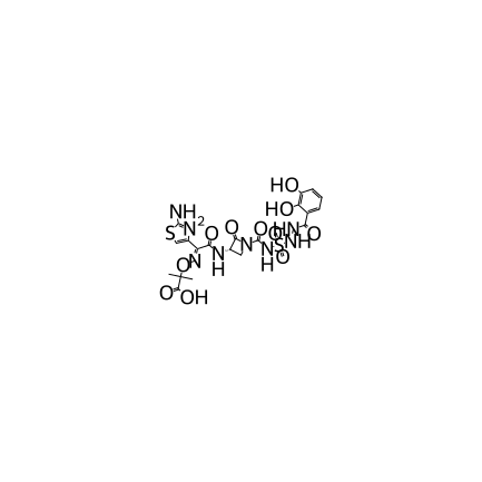 CC(C)(ON=C(C(=O)N[C@H]1CN(C(=O)NS(=O)(=O)NNC(=O)c2cccc(O)c2O)C1=O)c1csc(N)n1)C(=O)O